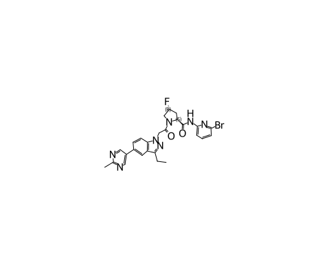 CCc1nn(CC(=O)N2C[C@H](F)C[C@H]2C(=O)Nc2cccc(Br)n2)c2ccc(-c3cnc(C)nc3)cc12